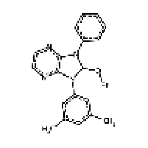 CCOC1N(c2ccccc2)c2nccnc2N1c1cc(C)cc(C)c1